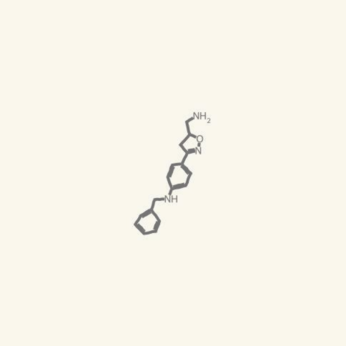 NCC1CC(c2ccc(NCc3ccccc3)cc2)=NO1